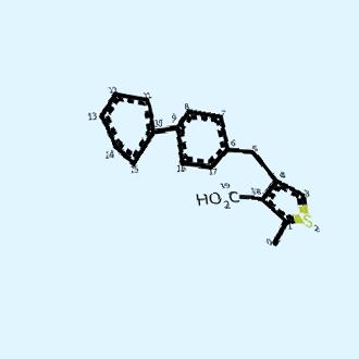 Cc1scc(Cc2ccc(-c3ccccc3)cc2)c1C(=O)O